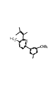 CC(C)=C(C)c1nc(-c2cc(F)cc(OCC(C)C)c2)ccc1C(=O)O